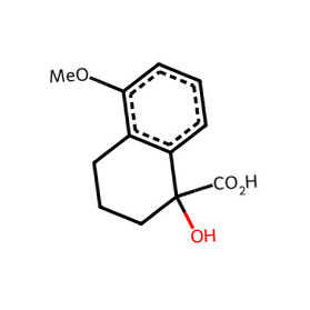 COc1cccc2c1CCCC2(O)C(=O)O